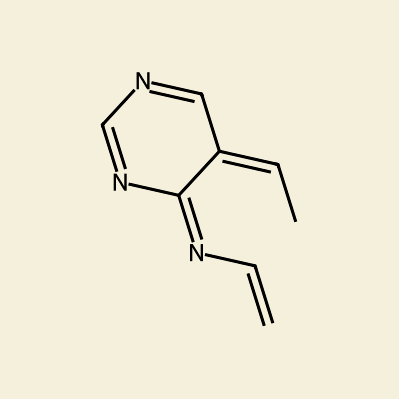 C=C/N=C1/N=CN=C/C1=C/C